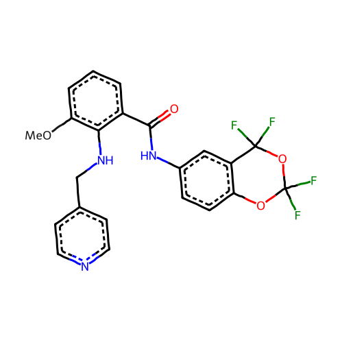 COc1cccc(C(=O)Nc2ccc3c(c2)C(F)(F)OC(F)(F)O3)c1NCc1ccncc1